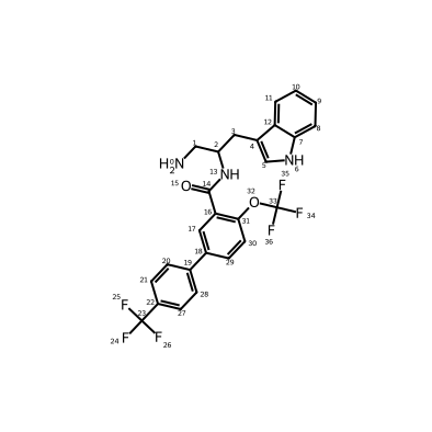 NCC(Cc1c[nH]c2ccccc12)NC(=O)c1cc(-c2ccc(C(F)(F)F)cc2)ccc1OC(F)(F)F